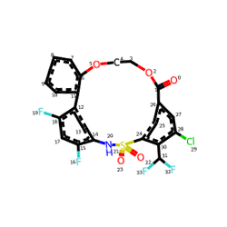 O=C1OCCOc2ccccc2-c2cc(c(F)cc2F)NS(=O)(=O)c2cc1cc(Cl)c2C(F)F